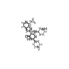 CN1CCN(c2nc(NC3CCCNC3)c(-c3nc4c(C5CC5)nccc4s3)c(=O)[nH]2)CC1